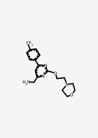 NCc1cc(-c2ccc(C(F)(F)F)cc2)nc(OCCN2CCOCC2)n1